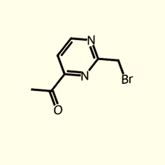 CC(=O)c1ccnc(CBr)n1